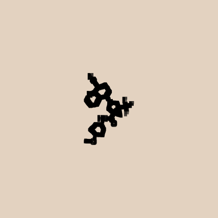 CO[C@H]1CC[C@H](NC(=O)C23CN(c4ccc(C#N)c5ncccc45)CC2(C(F)(F)F)C3)CC1